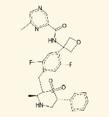 Cc1cncc(C(=O)NC2(c3cc(F)c(CC4[C@H](C)NC[C@@H](c5ccccc5)S4(=O)=O)cc3F)COC2)n1